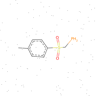 Cc1ccc(S(=O)(=O)CP)cc1